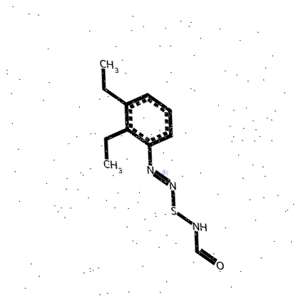 CCc1cccc(/N=N/SNC=O)c1CC